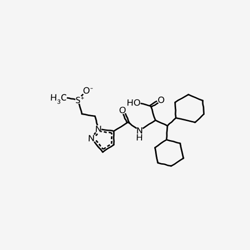 C[S+]([O-])CCn1nccc1C(=O)NC(C(=O)O)C(C1CCCCC1)C1CCCCC1